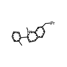 Cc1ccccc1-c1ccc2ccc(CC(C)C)cc2[n+]1C